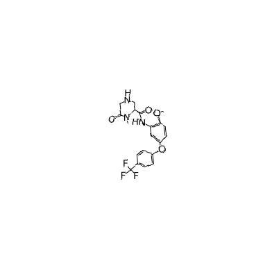 COc1ccc(Oc2ccc(C(F)(F)F)cc2)cc1NC(=O)C1CNCC(=O)N1C